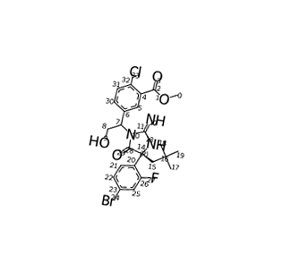 COC(=O)c1cc(C(CO)N2C(=N)N[C@](CC(C)(C)C)(c3ccc(Br)cc3F)C2=O)ccc1Cl